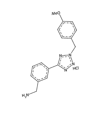 COc1ccc(Cn2nnc(-c3cccc(CN)c3)n2)cc1.Cl